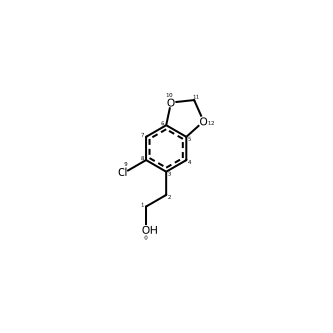 OCCc1cc2c(cc1Cl)OCO2